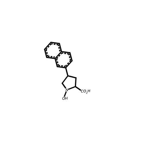 O=C(O)C1CC(c2ccc3ccccc3c2)CN1O